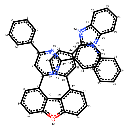 c1ccc(-c2cc(-c3cccc4oc5cccc(-c6cccc(-c7nc8ccccc8n7-c7ccccc7)c6)c5c34)nc(-c3ccccc3)n2)cc1